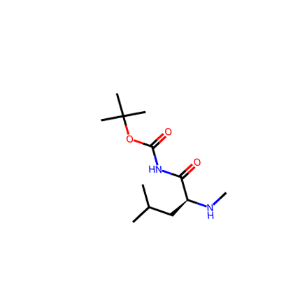 CN[C@@H](CC(C)C)C(=O)NC(=O)OC(C)(C)C